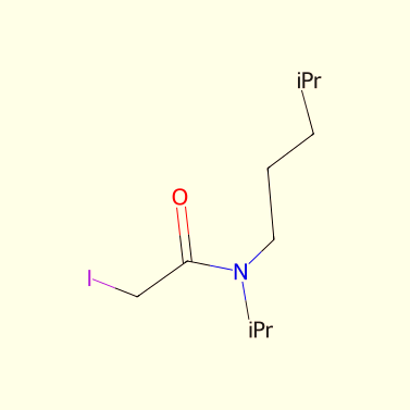 CC(C)CCCN(C(=O)CI)C(C)C